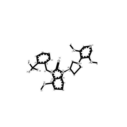 COc1cncc(OC)c1N1CC[C@@H](n2c(=O)n(Cc3ccccc3C(F)(F)F)c3c(OC)cccc32)C1